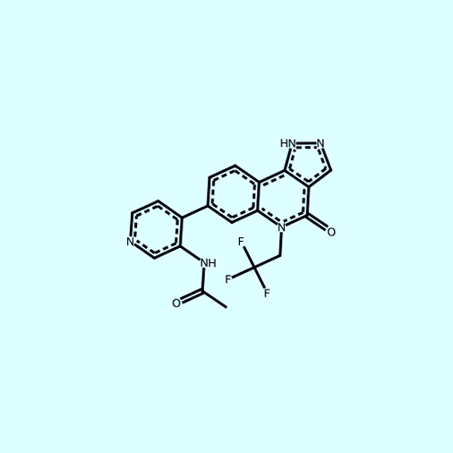 CC(=O)Nc1cnccc1-c1ccc2c3[nH]ncc3c(=O)n(CC(F)(F)F)c2c1